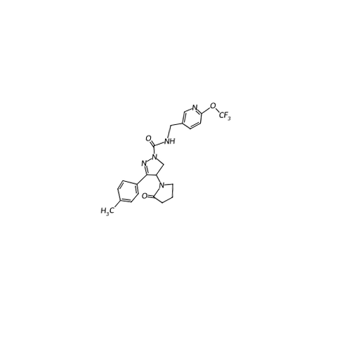 Cc1ccc(C2=NN(C(=O)NCc3ccc(OC(F)(F)F)nc3)CC2N2CCCC2=O)cc1